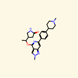 CC(Oc1nc(-c2ccc(C3CCN(C)CC3)cc2)cc2nn(C)cc12)C1CNC(=O)C1